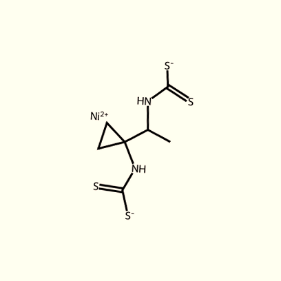 CC(NC(=S)[S-])C1(NC(=S)[S-])CC1.[Ni+2]